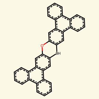 B1c2cc3c4ccccc4c4ccccc4c3cc2Oc2cc3c4ccccc4c4ccccc4c3cc21